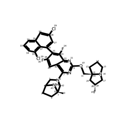 C[C@]12CCC(CN(c3nc(OC[C@@]45CCCN4C[C@H](F)C5)nc4c(F)c(-c5cc(Cl)cc6cccc(Cl)c56)c(F)cc34)C1)N2